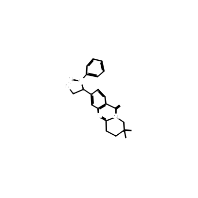 CC1(C)CCc2nc3cc(C4CN=NN4c4ccccc4)ccc3c(=O)n2C1